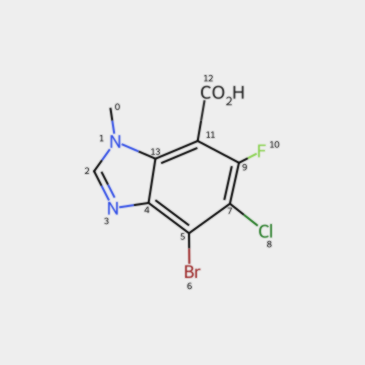 Cn1cnc2c(Br)c(Cl)c(F)c(C(=O)O)c21